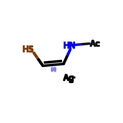 CC(=O)N/C=C\S.[Ag]